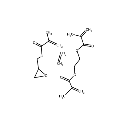 C=C.C=C(C)C(=O)OCC1CO1.C=C(C)C(=O)OCCOC(=O)C(=C)C